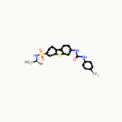 CC(C)[C@H](NS(=O)(=O)c1ccc2c(c1)sc1cc(NC(=O)Nc3ccc(C(F)(F)F)cc3)ccc12)C(=O)O